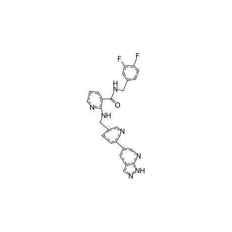 O=C(NCc1ccc(F)c(F)c1)c1cccnc1NCc1ccc(-c2cnc3[nH]ncc3c2)nc1